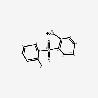 Cc1ccccc1S(=O)(=O)c1ccc[c]c1S(=O)(=O)O